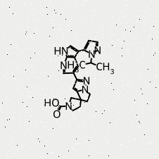 CC(C)n1nccc1-c1c[nH]c2ncc(-c3cc4n(n3)CCC43CCN(C(=O)O)C3)cc12